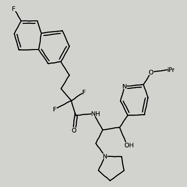 CC(C)Oc1ccc(C(O)C(CN2CCCC2)NC(=O)C(F)(F)CCc2ccc3cc(F)ccc3c2)cn1